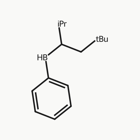 CC(C)C(Bc1ccccc1)CC(C)(C)C